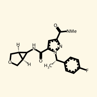 CNC(=O)c1cc(C(=O)NC2[C@H]3COC[C@@H]23)n([C@@H](C)c2ccc(F)cc2)n1